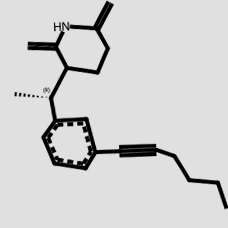 C=C1CCC([C@@H](C)c2cccc(C#CCCCC)c2)C(=C)N1